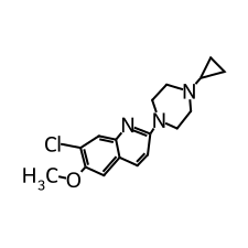 COc1cc2ccc(N3CCN(C4CC4)CC3)nc2cc1Cl